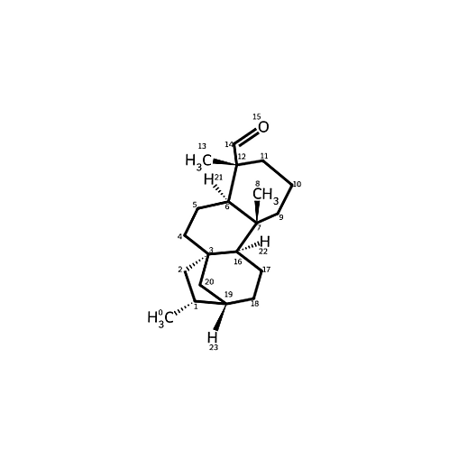 C[C@@H]1C[C@]23CC[C@@H]4[C@](C)(CCC[C@@]4(C)C=O)[C@H]2CC[C@H]1C3